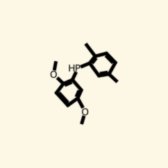 COc1ccc(OC)c(Pc2cc(C)ccc2C)c1